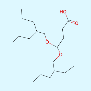 CCCC(CC)COC(CCC(=O)O)OCC(CCC)CCC